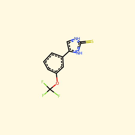 FC(F)(F)Oc1cccc(-c2c[nH]c(=S)[nH]2)c1